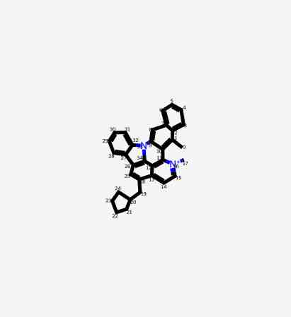 Cc1c2ccccc2cc2c1c1c3c(cc[n+]1C)c(CC1CCCC1)cc1c4ccccc4n2c13